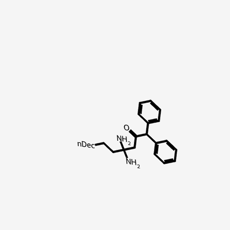 CCCCCCCCCCCCC(N)(N)CC(=O)C(c1ccccc1)c1ccccc1